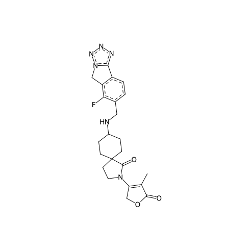 CC1=C(N2CCC3(CCC(NCc4ccc5c(c4F)Cn4nnnc4-5)CC3)C2=O)COC1=O